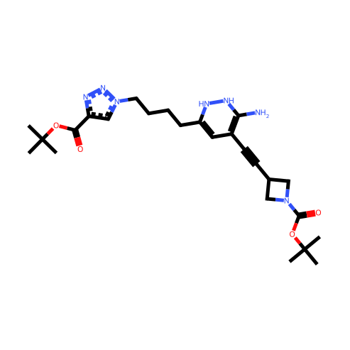 CC(C)(C)OC(=O)c1cn(CCCCC2=CC(C#CC3CN(C(=O)OC(C)(C)C)C3)=C(N)NN2)nn1